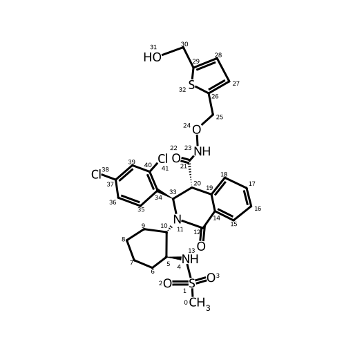 CS(=O)(=O)N[C@H]1CCCC[C@@H]1N1C(=O)c2ccccc2[C@@H](C(=O)NOCc2ccc(CO)s2)[C@@H]1c1ccc(Cl)cc1Cl